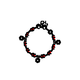 Cn1c2ccc3cc2c2cc(ccc21)-c1ccc(cc1)-c1ccc(cc1)N(c1ccccc1)c1ccc(cc1)-c1ccc(cc1)-c1ccc(cc1)N(c1ccccc1)c1ccc(cc1)-c1ccc(cc1)-c1ccc(cc1)N(c1ccccc1)c1ccc(cc1)-c1ccc-3cc1